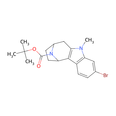 Cn1c2c(c3ccc(Br)cc31)C1CCC(C2)N1C(=O)OC(C)(C)C